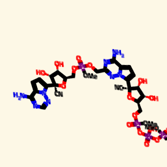 COP(=O)(OCc1nc(N)c2ccc([C@]3(C#N)O[C@H](COP(=O)(OC)OP(=O)(O)OP(=O)(OC)OC)[C@@H](O)[C@H]3O)n2n1)OC[C@H]1O[C@@](C#N)(c2ccc3c(N)ncnn23)[C@H](O)[C@@H]1O